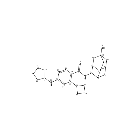 O=C(NC1C2CC3CC1CC(O)(C3)C2)c1cnc(NC2CCOC2)nc1C1CCC1